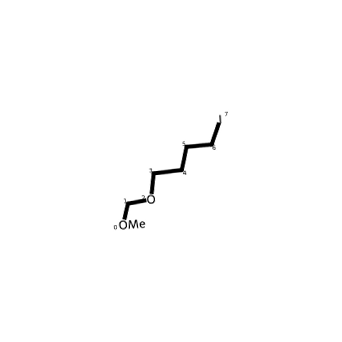 COCOCCCCI